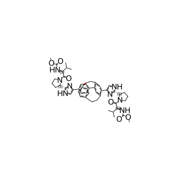 COC(=O)N[C@H](C(=O)N1CCC[C@H]1c1nc(-c2ccc(-c3cc4c(-c5c[nH]c([C@@H]6CCCN6C(=O)[C@@H](NC(=O)OC)C(C)C)n5)cc3CCc3ccc(cc3)CC4)cc2)c[nH]1)C(C)C